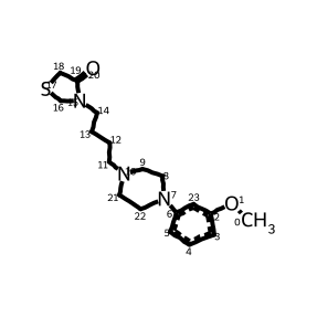 COc1cccc(N2CCN(CCCCN3CSCC3=O)CC2)c1